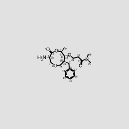 C[C@@H]1OC(=O)[C@@H](N)COC[C@H](Cc2ccccc2)[C@H]1OCCC(=O)N(C)C